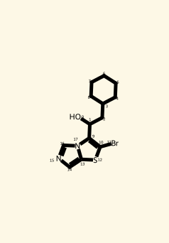 OC(CC1CCCCC1)c1c(Br)sc2cncn12